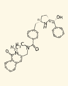 CN(Cc1cc2ccccc2c(=O)n1C)C(=O)c1ccc(C[C@@H]2CC[C@H]([C@H](O)c3ccccc3)N2)cc1